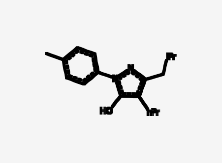 CCCc1c(CC(C)C)nn(-c2ccc(C)cc2)c1O